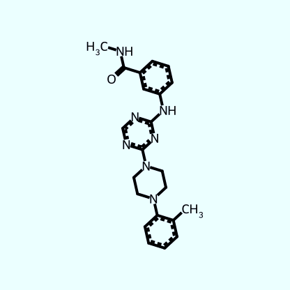 CNC(=O)c1cccc(Nc2ncnc(N3CCN(c4ccccc4C)CC3)n2)c1